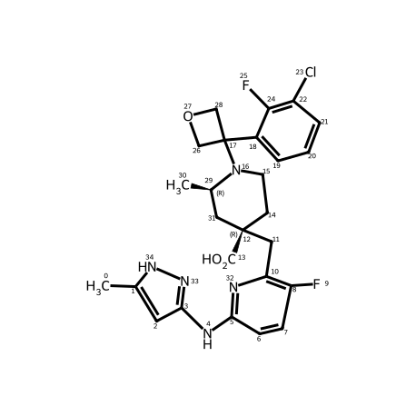 Cc1cc(Nc2ccc(F)c(C[C@@]3(C(=O)O)CCN(C4(c5cccc(Cl)c5F)COC4)[C@H](C)C3)n2)n[nH]1